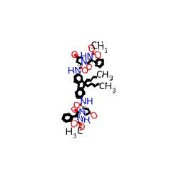 CCCCCC1(CCCCC)c2cc(NC(=O)[C@@H]3CC(=O)CN3C(=O)[C@H](NC(=O)OC)c3ccccc3)ccc2-c2ccc(NC(=O)[C@@H]3CC(=O)CN3C(=O)[C@H](NC(=O)OC)c3ccccc3)cc21